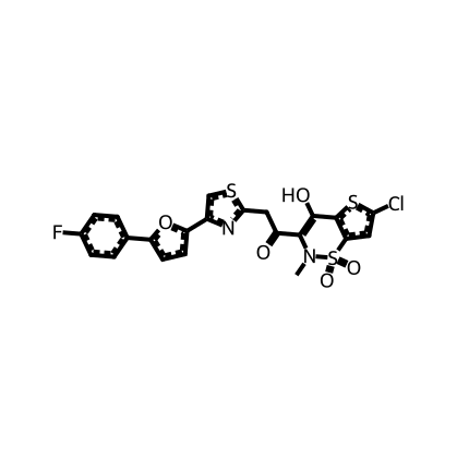 CN1C(C(=O)Cc2nc(-c3ccc(-c4ccc(F)cc4)o3)cs2)=C(O)c2sc(Cl)cc2S1(=O)=O